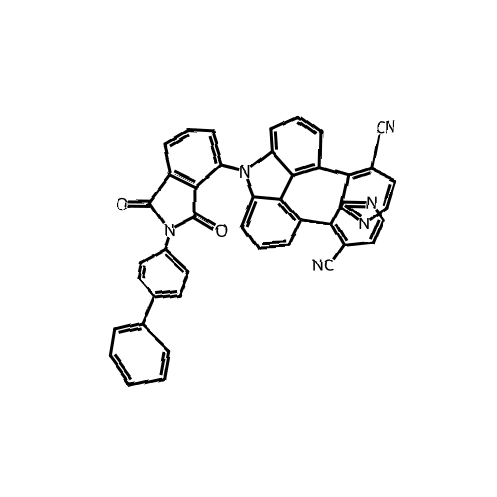 N#Cc1ccncc1-c1cccc2c1c1c(-c3cnccc3C#N)cccc1n2-c1cccc2c1C(=O)N(c1ccc(-c3ccccc3)cc1)C2=O